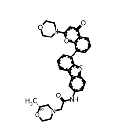 C[C@@H]1CN(CC(=O)Nc2ccc3sc4c(-c5cccc6c(=O)cc(N7CCOCC7)oc56)cccc4c3c2)CCO1